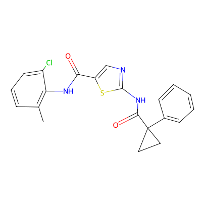 Cc1cccc(Cl)c1NC(=O)c1cnc(NC(=O)C2(c3ccccc3)CC2)s1